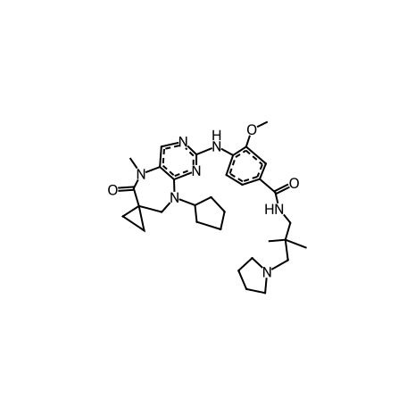 COc1cc(C(=O)NCC(C)(C)CN2CCCC2)ccc1Nc1ncc2c(n1)N(C1CCCC1)CC1(CC1)C(=O)N2C